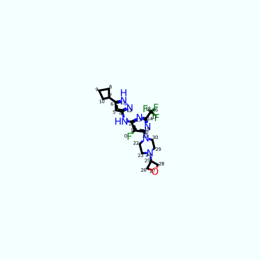 Fc1c(Nc2cc(C3CCC3)[nH]n2)nc(C(F)(F)F)nc1N1CCN(C2COC2)CC1